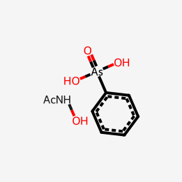 CC(=O)NO.O=[As](O)(O)c1ccccc1